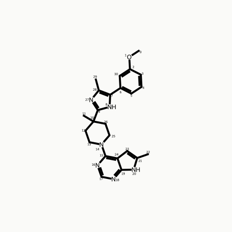 COc1cccc(-c2[nH]c(C3(C)CCN(c4ncnc5[nH]c(C)cc45)CC3)nc2C)c1